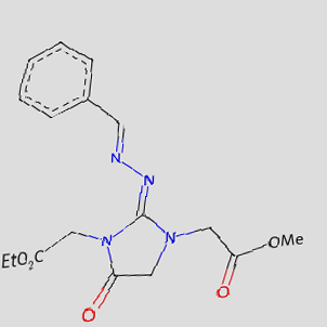 CCOC(=O)CN1C(=O)CN(CC(=O)OC)/C1=N/N=C/c1ccccc1